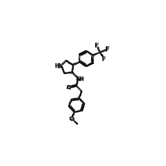 COc1ccc(CC(=O)NC2CNCC2c2ccc(C(F)(F)F)cc2)cc1